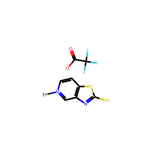 CC[n+]1ccc2sc(S)nc2c1.O=C([O-])C(F)(F)F